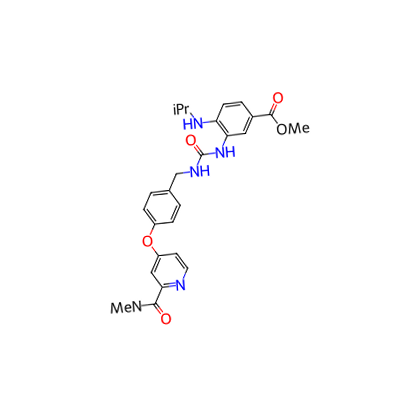 CNC(=O)c1cc(Oc2ccc(CNC(=O)Nc3cc(C(=O)OC)ccc3NC(C)C)cc2)ccn1